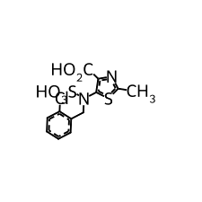 Cc1nc(C(=O)O)c(N(Cc2ccccc2Cl)S(=O)(=O)O)s1